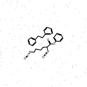 O=C=NCCCCC(N=C=O)C(=O)Oc1ccccc1.c1ccc(CCc2ccccc2)cc1